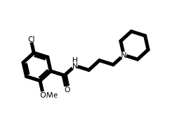 COc1ccc(Cl)cc1C(=O)NCCCN1CCCCC1